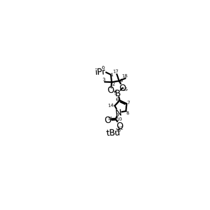 CC(C)CC1(C)OB(C2=CCN(C(=O)OC(C)(C)C)C2)OC1(C)C